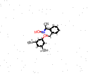 CC(C)(C)c1cc(OCc2ccccc2C(C#N)=NO)cc(C(C)(C)C)c1